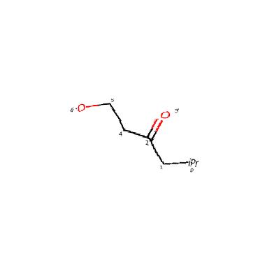 CC(C)CC(=O)CC[O]